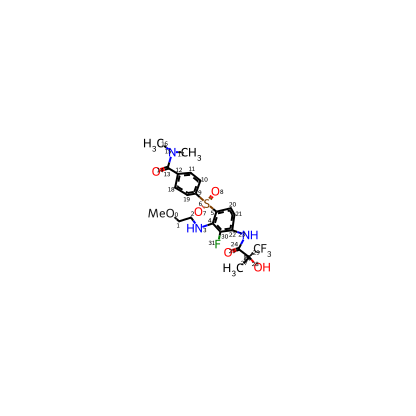 COCCNc1c(S(=O)(=O)c2ccc(C(=O)N(C)C)cc2)ccc(NC(=O)[C@@](C)(O)C(F)(F)F)c1F